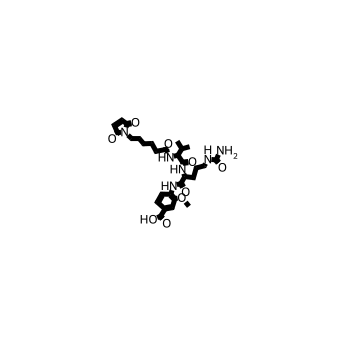 COc1cc(C(=O)O)ccc1NC(=O)C(CCCNC(N)=O)NC(=O)C(NC(=O)CCCCCN1C(=O)C=CC1=O)C(C)C